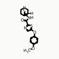 COc1ccc(Oc2cnc(C(=O)N[C@H]3CN4CCC3CC4)s2)cc1